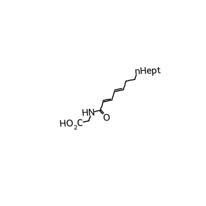 CCCCCCCCCC=CC=CC(=O)NCC(=O)O